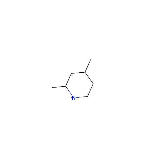 CC1CC[N]C(C)C1